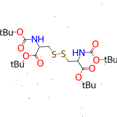 CC(C)(C)OC(=O)NC(CSSCC(NC(=O)OC(C)(C)C)C(=O)OC(C)(C)C)C(=O)OC(C)(C)C